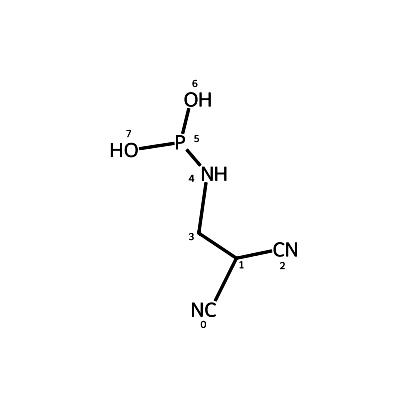 N#CC(C#N)CNP(O)O